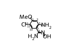 COc1cc(N)c(C(N)=NO)cc1Cl